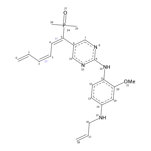 C=C/C=C\C=C(/c1cnc(Nc2ccc(NCC=C)cc2OC)nc1)P(C)(C)=O